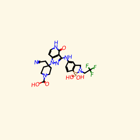 N#CCC1(n2nc(Nc3ccc4c(c3)CN(CC(F)(F)F)S4(O)O)c3c(=O)[nH]ccc32)CCN(C(=O)O)CC1